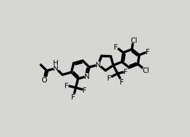 CC(=O)NCc1ccc(N2CCC(c3cc(Cl)c(F)c(Cl)c3F)(C(F)(F)F)C2)nc1C(F)(F)F